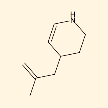 C=C(C)CC1C=CNCC1